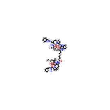 CC[C@H](NC)C(=O)N[C@@H]1C(=O)N2C(CC[C@@H]1CCNCc1ccccc1)CC[C@H]2C(=O)N[C@H](C(=O)NCCCCCCCC(=O)NC[C@H]1CC[C@H]2CC[C@@H](C(=O)NCc3ccccc3)N2C(=O)[C@H]1NC(O)[C@H](CC)NC)c1ccccc1